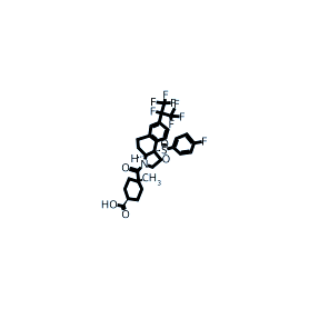 C[C@]1(C(=O)N2CC[C@]3(S(=O)(=O)c4ccc(F)cc4)c4ccc(C(F)(C(F)(F)F)C(F)(F)F)cc4CC[C@H]23)CC[C@H](C(=O)O)CC1